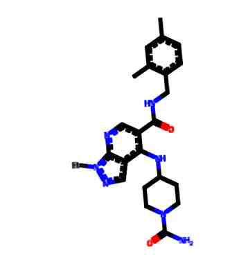 CCn1ncc2c(NC3CCN(C(N)=O)CC3)c(C(=O)NCc3ccc(C)cc3C)cnc21